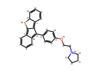 C1=CC2=C3C(=c4ccccc4=C3c3ccc(OCCN4CCCC4)cc3)SC2C=C1